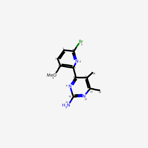 COc1ccc(Br)nc1-c1nc(N)nc(C)c1C